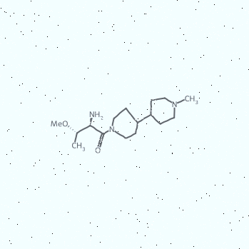 CO[C@@H](C)[C@@H](N)C(=O)N1CCC(C2CCN(C)CC2)CC1